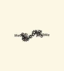 COC(=O)N[C@H](C(=O)N1CCC[C@H]1c1nc2ccc3cc(-c4ccc(-c5cnc([C@@H]6[C@H]7CC[C@H](C7)N6C(=O)[C@@H](NC(=O)OC)C(C)C)[nH]5)cc4)ccc3c2[nH]1)C(C)C